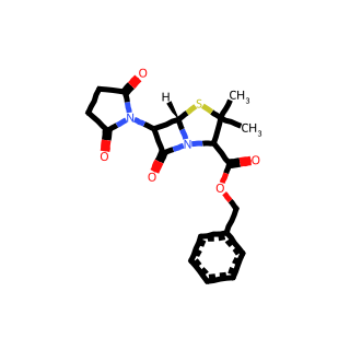 CC1(C)S[C@H]2C(N3C(=O)CCC3=O)C(=O)N2C1C(=O)OCc1ccccc1